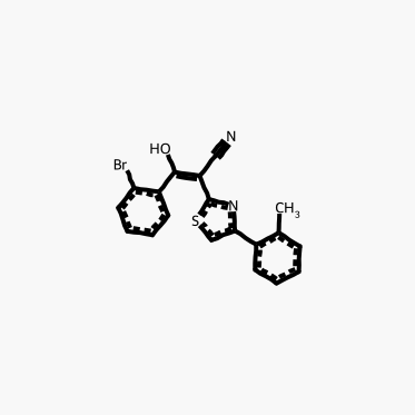 Cc1ccccc1-c1csc(/C(C#N)=C(/O)c2ccccc2Br)n1